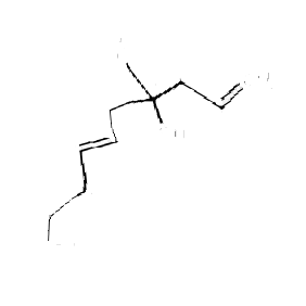 C=CCC(C)(C)CC=CCCCCCCCC